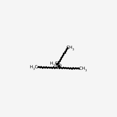 CCCCCCCCCCCCCCCCCCN(CCCCCCCCCCCCCCCCCC)C(=O)OC(C)CCCCCCCCCCCCCCCC